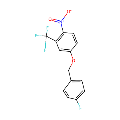 O=[N+]([O-])c1ccc(OCc2ccc(F)cc2)cc1C(F)(F)F